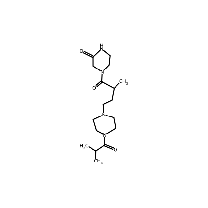 CC(C)C(=O)N1CCN(CCC(C)C(=O)N2CCNC(=O)C2)CC1